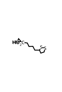 C1CN1.O=C(O)CCCCC1CCSS1